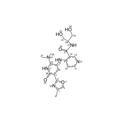 Cc1coc(-c2cc(Nc3ccncc3C(=O)NC(CO)CO)c(N(C)C)[nH]c2=O)n1